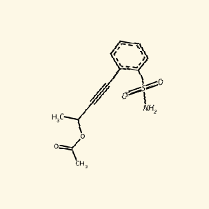 CC(=O)OC(C)C#Cc1ccccc1S(N)(=O)=O